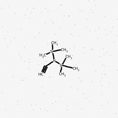 C#CN([Si](C)(C)C)[Si](C)(C)C